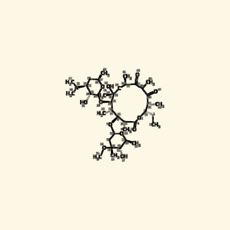 CC[C@@H]1OC(=O)[C@H](C)[C@@H](OC2C[C@@](C)(OC)[C@@H](O)[C@H](C)O2)[C@H](C)[C@@H](OC2O[C@H](C)C[C@H](N(C)C)[C@H]2O)[C@](C)(O)C[C@@H](C)C(=O)C(C)C(=O)[C@@H]1C